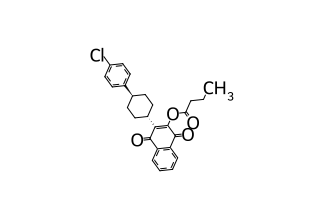 CCCC(=O)OC1=C([C@H]2CC[C@H](c3ccc(Cl)cc3)CC2)C(=O)c2ccccc2C1=O